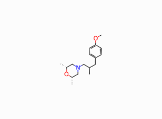 COc1ccc(CC(C)CN2C[C@@H](C)O[C@@H](C)C2)cc1